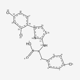 O=C(O)C(Cc1ccc(Cl)cc1)Nc1nc(-c2ccc(Cl)cc2Cl)cs1